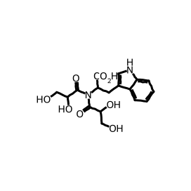 O=C(O)C(Cc1c[nH]c2ccccc12)N(C(=O)C(O)CO)C(=O)C(O)CO